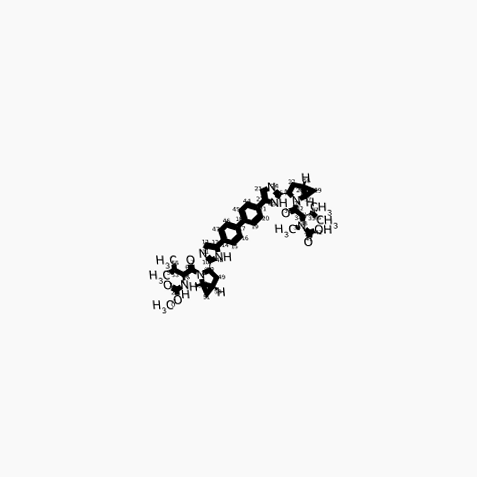 COC(=O)N[C@H](C(=O)N1[C@H](c2ncc(-c3ccc(-c4ccc(-c5cnc([C@@H]6C[C@@H]7C[C@@H]7N6C(=O)[C@H](C(C)C)N(C)C(=O)O)[nH]5)cc4)cc3)[nH]2)C[C@@H]2C[C@@H]21)C(C)C